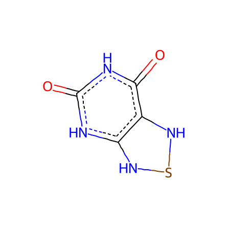 O=c1[nH]c2c(c(=O)[nH]1)NSN2